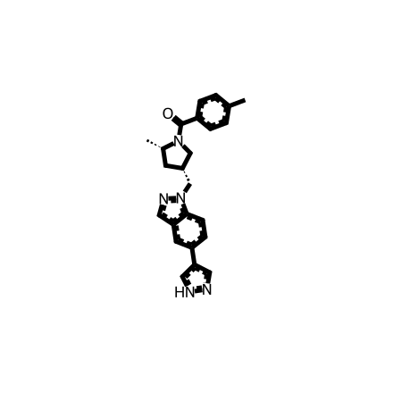 Cc1ccc(C(=O)N2C[C@H](Cn3ncc4cc(-c5cn[nH]c5)ccc43)C[C@@H]2C)cc1